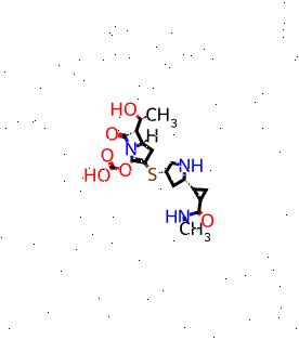 CNC(=O)C1CC1[C@@H]1C[C@H](SC2=C(OC(=O)O)N3C(=O)[C@H]([C@@H](C)O)[C@H]3C2)CN1